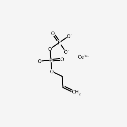 C=CCOP(=O)([O-])OP(=O)([O-])[O-].[Ce+3]